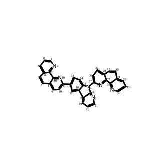 c1cnc2c(c1)ccc1ccc(-c3ccc4c(c3)c3cccnc3n4-c3ccc4ccc5cccnc5c4n3)nc12